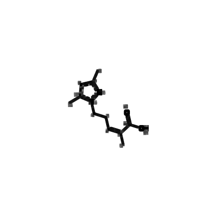 CC(=CCCn1nc(C)cc1C)C(=O)O